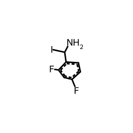 NC(I)c1ccc(F)cc1F